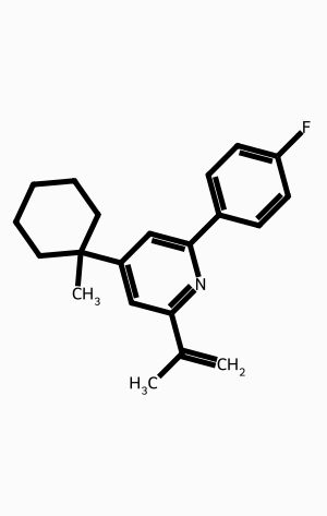 C=C(C)c1cc(C2(C)CCCCC2)cc(-c2ccc(F)cc2)n1